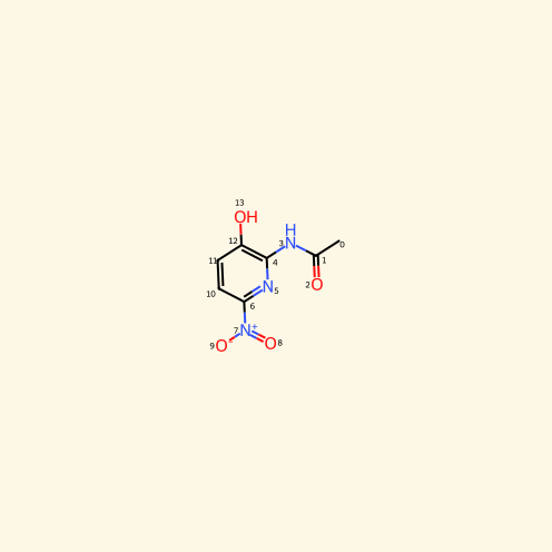 CC(=O)Nc1nc([N+](=O)[O-])ccc1O